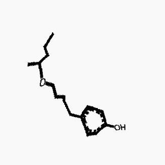 CCCC(C)OCCCCc1ccc(O)cc1